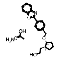 CC(=O)O.N.OCC[C@@H]1CCC[C@H]1OCc1ccc(-c2nc3ccccc3o2)cc1